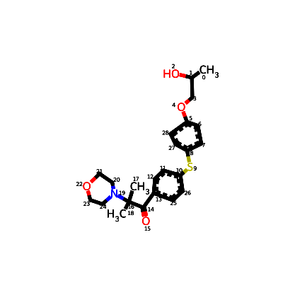 CC(O)COc1ccc(Sc2ccc(C(=O)C(C)(C)N3CCOCC3)cc2)cc1